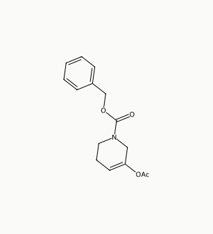 CC(=O)OC1=CCCN(C(=O)OCc2ccccc2)C1